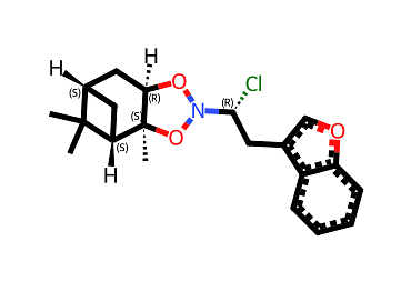 CC1(C)[C@@H]2C[C@H]3ON([C@H](Cl)Cc4coc5ccccc45)O[C@@]3(C)[C@H]1C2